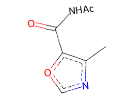 CC(=O)NC(=O)c1ocnc1C